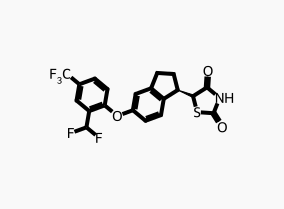 O=C1NC(=O)C([C@@H]2CCc3cc(Oc4ccc(C(F)(F)F)cc4C(F)F)ccc32)S1